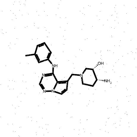 Cc1cccc(Nc2ncnn3ccc(CN4CC[C@@H](N)[C@@H](O)C4)c23)c1